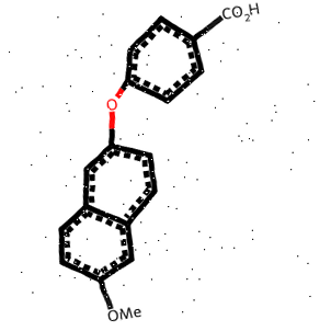 COc1ccc2cc(Oc3ccc(C(=O)O)cc3)ccc2c1